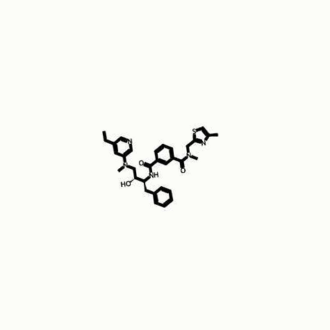 CCc1cncc(N(C)C[C@@H](O)[C@H](Cc2ccccc2)NC(=O)c2cccc(C(=O)N(C)Cc3nc(C)cs3)c2)c1